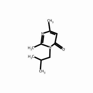 Cc1cc(=O)n(CC(C)C)c(C)n1